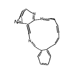 c1ccnc2ncc3nc3c2cncc2ccccc2cc1